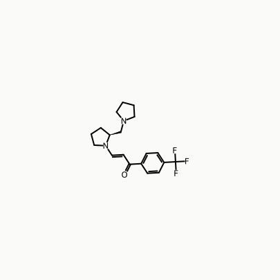 O=C(/C=C/N1CCC[C@H]1CN1CCCC1)c1ccc(C(F)(F)F)cc1